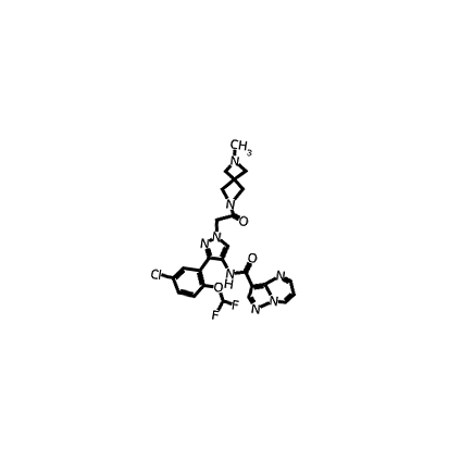 CN1CC2(C1)CN(C(=O)Cn1cc(NC(=O)c3cnn4cccnc34)c(-c3cc(Cl)ccc3OC(F)F)n1)C2